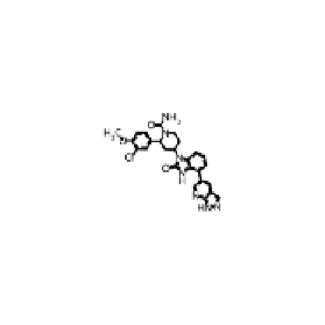 COc1ccc(C2CC(n3c(=O)[nH]c4c(-c5cnc6[nH]ncc6c5)cccc43)CCN2C(N)=O)cc1Cl